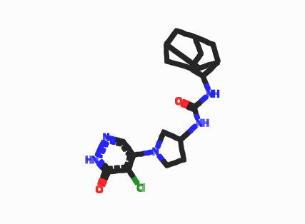 O=C(NC1CCN(c2cn[nH]c(=O)c2Cl)C1)NC1C2CC3CC(C2)CC1C3